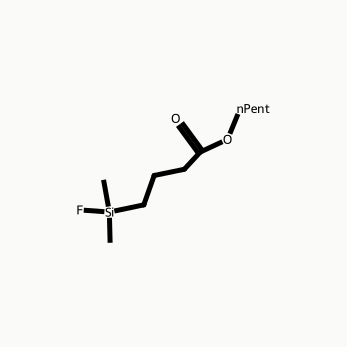 CCCCCOC(=O)CCC[Si](C)(C)F